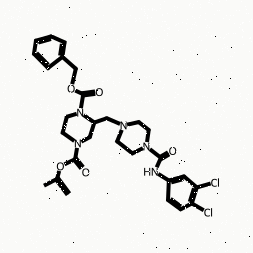 C=C(C)OC(=O)N1CCN(C(=O)OCc2ccccc2)C(CN2CCN(C(=O)Nc3ccc(Cl)c(Cl)c3)CC2)C1